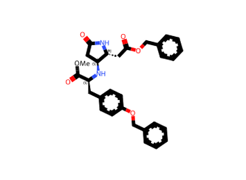 COC(=O)[C@H](Cc1ccc(OCc2ccccc2)cc1)N[C@H]1CC(=O)N[C@@H]1CC(=O)OCc1ccccc1